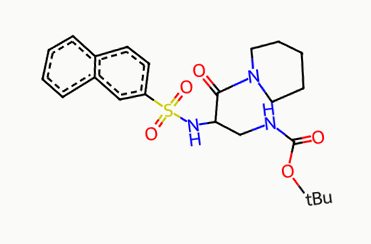 CC(C)(C)OC(=O)NCC(NS(=O)(=O)c1ccc2ccccc2c1)C(=O)N1CCCCC1